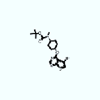 CN(C(=O)OC(C)(C)C)[C@H]1CC[C@H](Oc2ncnc3scc(Br)c23)CC1